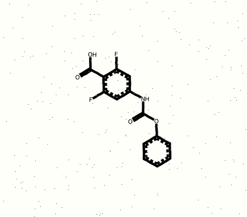 O=C(Nc1cc(F)c(C(=O)O)c(F)c1)Oc1ccccc1